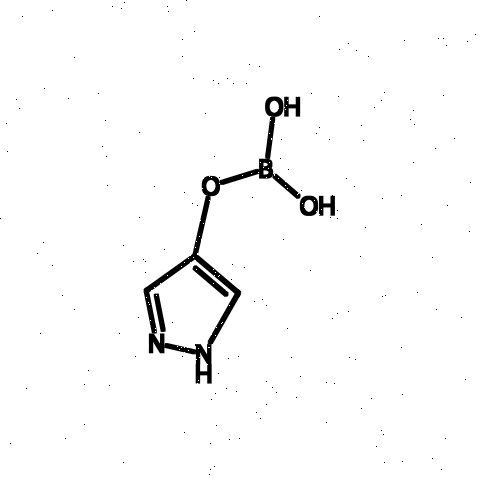 OB(O)Oc1cn[nH]c1